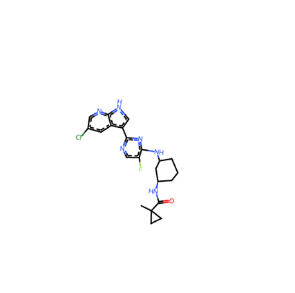 CC1(C(=O)N[C@@H]2CCCC(Nc3nc(-c4c[nH]c5ncc(Cl)cc45)ncc3F)C2)CC1